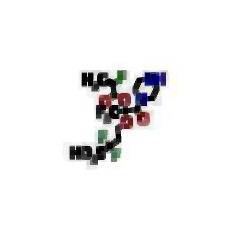 C=C(F)C(=O)OC(OCCC(F)(F)S(=O)(=O)O)(C(=O)N1CCNCC1)C(F)(F)F